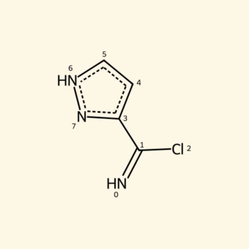 N=C(Cl)c1cc[nH]n1